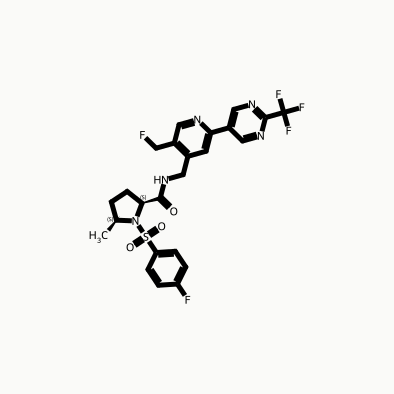 C[C@H]1CC[C@@H](C(=O)NCc2cc(-c3cnc(C(F)(F)F)nc3)ncc2CF)N1S(=O)(=O)c1ccc(F)cc1